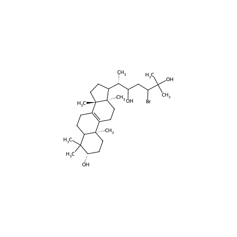 C[C@H](C(O)CC(Br)C(C)(C)O)C1CC[C@@]2(C)C3=C(CC[C@]12C)[C@@]1(C)CC[C@H](O)C(C)(C)C1CC3